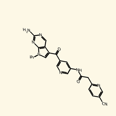 CC(C)n1cc(C(=O)c2cncc(NC(=O)Cc3ccc(C#N)cn3)c2)c2cnc(N)nc21